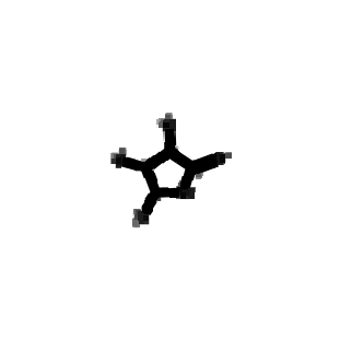 [2H]C1NC(=O)C([2H])C1[2H]